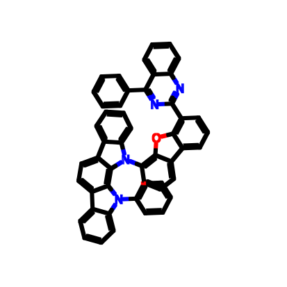 c1ccc(-c2nc(-c3cccc4c3oc3c(-n5c6ccccc6c6ccc7c8ccccc8n(-c8ccccc8)c7c65)cccc34)nc3ccccc23)cc1